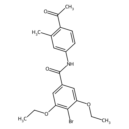 CCOc1cc(C(=O)Nc2ccc(C(C)=O)c(C)c2)cc(OCC)c1Br